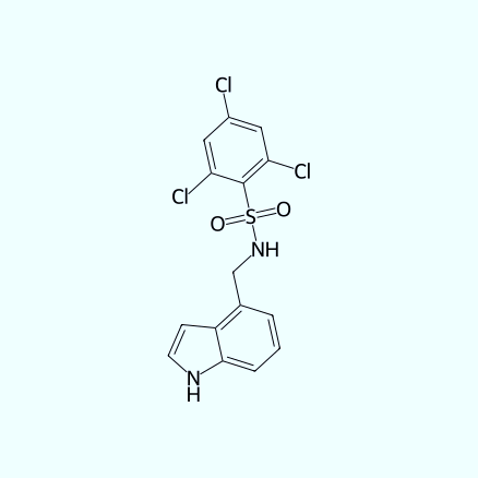 O=S(=O)(NCc1cccc2[nH]ccc12)c1c(Cl)cc(Cl)cc1Cl